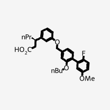 CCCCOc1cc(COc2cccc([C@H](CCC)CC(=O)O)c2)ccc1-c1cc(OC)ccc1F